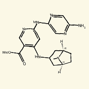 COC(=O)c1cnc(Nc2cnc(N)cn2)cc1NC1C[C@H]2CC[C@@H](C1)N2C